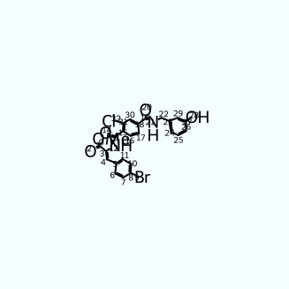 COC(=O)C(=Cc1ccc(Br)cc1)NC(=O)c1ccc(C(=O)NCc2cccc(O)c2)cc1Cl